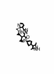 COc1ncccc1-c1nnc(C(C(=O)Nc2ccc(-c3c(C)n[nH]c3C)cc2)C(C2CC2)C2CC2)[nH]1